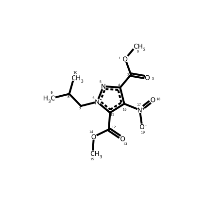 COC(=O)c1nn(CC(C)C)c(C(=O)OC)c1[N+](=O)[O-]